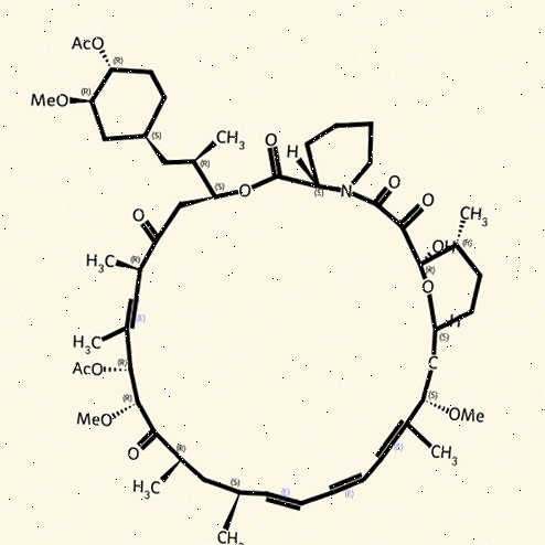 CO[C@H]1C[C@@H]2CC[C@@H](C)[C@@](O)(O2)C(=O)C(=O)N2CCCC[C@H]2C(=O)O[C@H]([C@H](C)C[C@@H]2CC[C@@H](OC(C)=O)[C@H](OC)C2)CC(=O)[C@H](C)/C=C(\C)[C@@H](OC(C)=O)[C@@H](OC)C(=O)[C@H](C)C[C@H](C)/C=C/C=C/C=C/1C